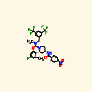 Cc1cc(F)ccc1[C@H]1C[C@@H](NC(=O)c2ccc([N+](=O)[O-])cc2)CCN1C(=O)N(C)Cc1cc(C(F)(F)F)cc(C(F)(F)F)c1